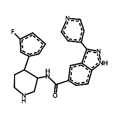 O=C(NC1CNCCC1c1cccc(F)c1)c1ccc2[nH]nc(-c3ccncc3)c2c1